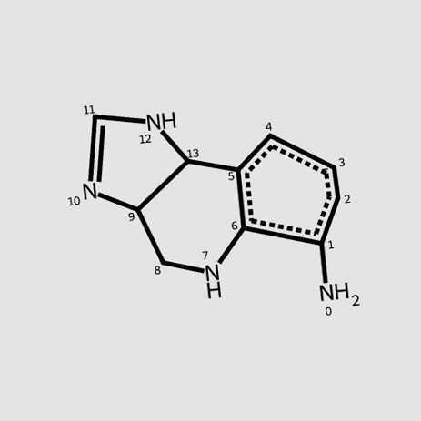 Nc1cccc2c1NCC1N=CNC21